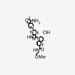 COCCNC(=O)c1ccc2c(n1)[C@@H](C)CCN2c1n[nH]c2nc(N3CCC4(CC3)CO[C@@H](C)[C@H]4N)cnc12.Cl